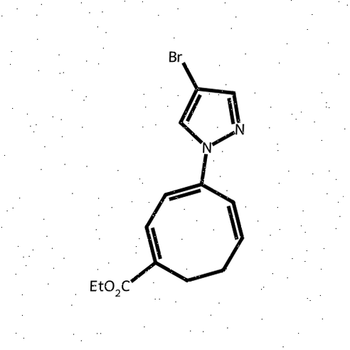 CCOC(=O)/C1=C/C=C(n2cc(Br)cn2)\C=C/CC1